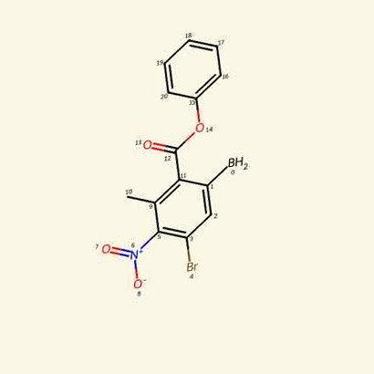 Bc1cc(Br)c([N+](=O)[O-])c(C)c1C(=O)Oc1ccccc1